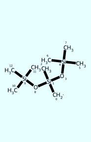 [CH2][Si](C)(O[Si](C)(C)C)O[Si](C)(C)C